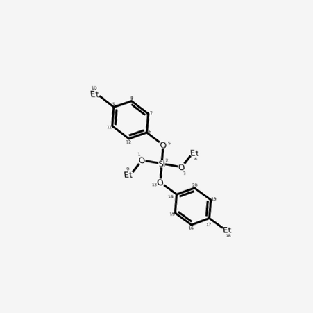 CCO[Si](OCC)(Oc1ccc(CC)cc1)Oc1ccc(CC)cc1